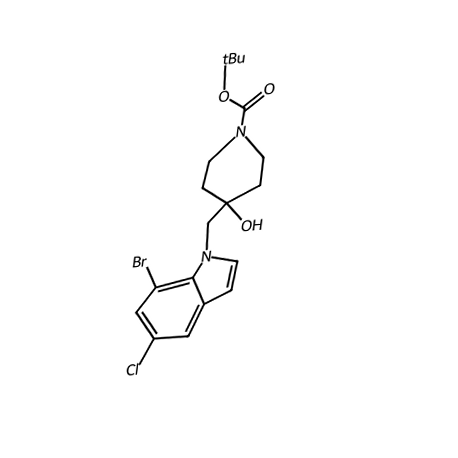 CC(C)(C)OC(=O)N1CCC(O)(Cn2ccc3cc(Cl)cc(Br)c32)CC1